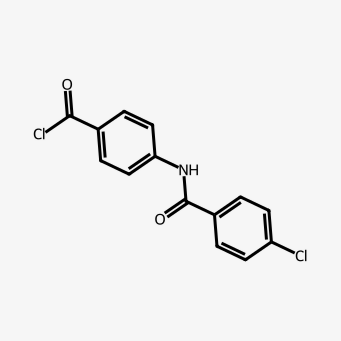 O=C(Cl)c1ccc(NC(=O)c2ccc(Cl)cc2)cc1